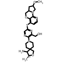 COC1CC2COc3c(Sc4cnc(N5CCC6(CC5)CO[C@@H](C)C6N)c(CO)n4)ccnc3N2C1